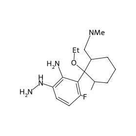 CCOC1(c2c(F)ccc(NN)c2N)C(C)CCCC1CNC